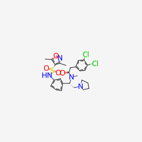 Cc1noc(C)c1S(=O)(=O)Nc1cccc([C@@H](CN2CCCC2)N(C)C(=O)Cc2ccc(Cl)c(Cl)c2)c1